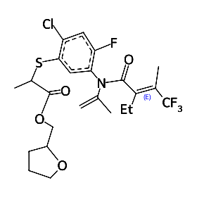 C=C(C)N(C(=O)/C(CC)=C(\C)C(F)(F)F)c1cc(SC(C)C(=O)OCC2CCCO2)c(Cl)cc1F